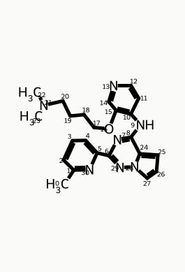 Cc1cccc(-c2nc(Nc3ccncc3OCCCCN(C)C)c3cccn3n2)n1